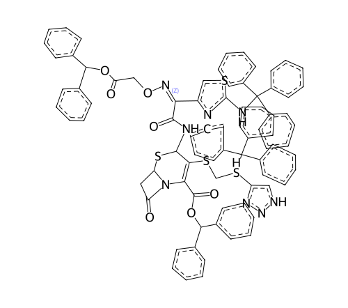 O=C(CO/N=C(\C(=O)NC1SC2CC(=O)N2C(C(=O)OC(c2ccccc2)c2ccccc2)=C1SC[SH](c1c[nH]nn1)C(c1ccccc1)(c1ccccc1)c1ccccc1)c1csc(NC(c2ccccc2)(c2ccccc2)c2ccccc2)n1)OC(c1ccccc1)c1ccccc1